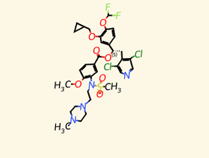 COc1ccc(C(=O)O[C@@H](Cc2c(Cl)cncc2Cl)c2ccc(OC(F)F)c(OCC3CC3)c2)cc1N(CCN1CCN(C)CC1)S(C)(=O)=O